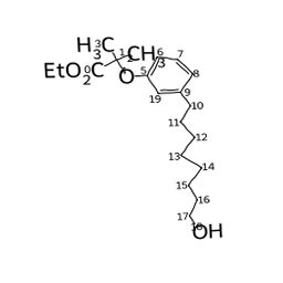 CCOC(=O)C(C)(C)Oc1cccc(CCCCCCCCO)c1